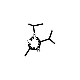 Cc1nc(C(C)C)n(C(C)C)n1